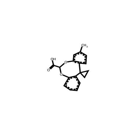 Cc1ccc2c(c1)OC(C(=O)O)Oc1ccccc1C21CC1